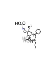 CCCC[C@@H]1CN(c2ccccc2)c2cc(SCC)c(O/C=C/C(=O)O)cc2S(O)(O)N1C